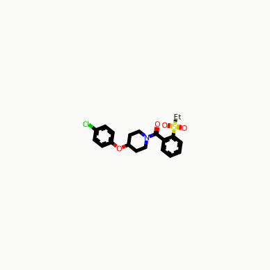 CCS(=O)(=O)c1ccccc1C(=O)N1CCC(Oc2ccc(Cl)cc2)CC1